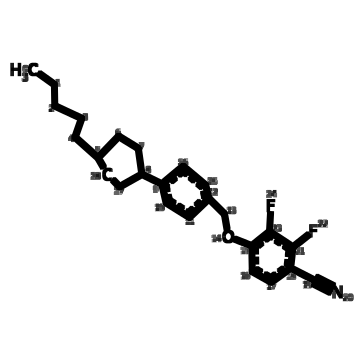 CCCCCC1CCC(c2ccc(COc3ccc(C#N)c(F)c3F)cc2)CC1